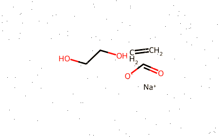 C=C.O=C[O-].OCCO.[Na+]